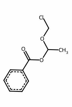 CC(OCCl)OC(=O)c1ccccc1